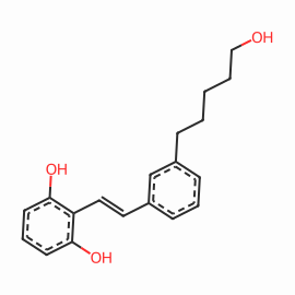 OCCCCCc1cccc(C=Cc2c(O)cccc2O)c1